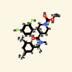 C[C@H](c1cc(C(F)(F)F)cc(C(F)(F)F)c1)N(C)C(=O)[C@@H]1CCN(C(=O)OC(C)(C)C)C[C@H]1c1ccc(F)cc1F